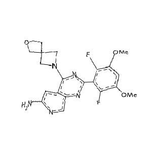 COc1cc(OC)c(F)c(-c2nc(N3CC4(COC4)C3)c3cc(N)ncc3n2)c1F